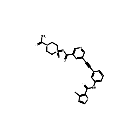 Cc1ccoc1C(=O)Nc1cccc(C#Cc2cncc(C(=O)N=S3(=O)CCN(C(N)=O)CC3)c2)c1